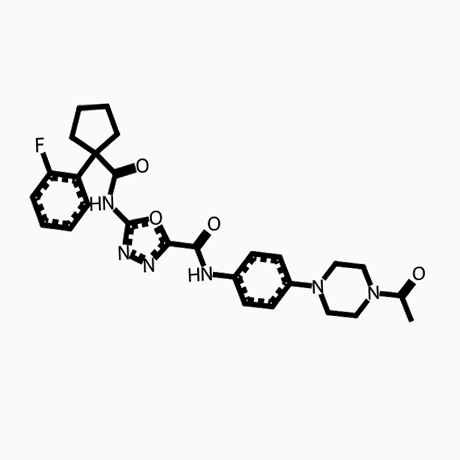 CC(=O)N1CCN(c2ccc(NC(=O)c3nnc(NC(=O)C4(c5ccccc5F)CCCC4)o3)cc2)CC1